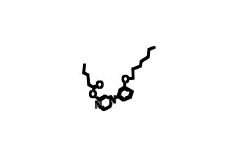 CCCCCCCOc1cccc(N2C=C(OC(=O)CCCC)N=CC2)c1